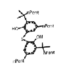 CCCCCc1cc(Sc2cc(CCCCC)cc(C(C)(C)CCCCC)c2O)c(O)c(C(C)(C)CCCCC)c1